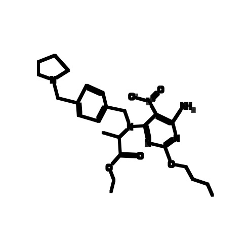 CCCCOc1nc(N)c([N+](=O)[O-])c(N(Cc2ccc(CN3CCCC3)cc2)C(C)C(=O)OCC)n1